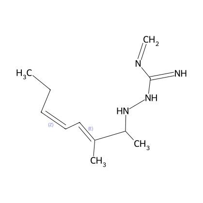 C=NC(=N)NNC(C)/C(C)=C/C=C\CC